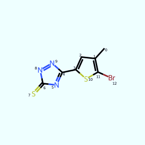 Cc1cc(C2=NC(=S)N=N2)sc1Br